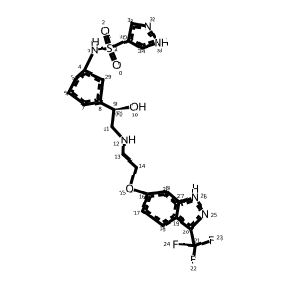 O=S(=O)(Nc1cccc([C@@H](O)CNCCOc2ccc3c(C(F)(F)F)n[nH]c3c2)c1)c1cn[nH]c1